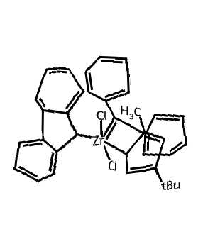 CC1=CC(C(C)(C)C)=C[CH]1[Zr]([Cl])([Cl])(=[C](c1ccccc1)c1ccccc1)[CH]1c2ccccc2-c2ccccc21